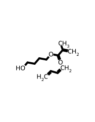 C=C(C)C(=O)OCCCCO.C=CC=C